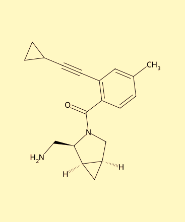 Cc1ccc(C(=O)N2C[C@H]3C[C@H]3[C@H]2CN)c(C#CC2CC2)c1